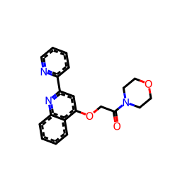 O=C(COc1cc(-c2ccccn2)nc2ccccc12)N1CCOCC1